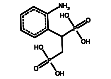 Nc1ccccc1C(CP(=O)(O)O)P(=O)(O)O